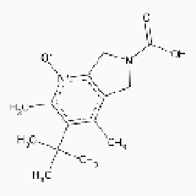 Cc1c2c([n+]([O-])c(C)c1C(C)(C)C)CN(C(=O)O)C2